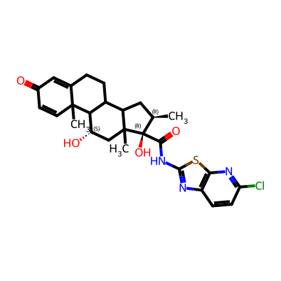 C[C@@H]1CC2C3CCC4=CC(=O)C=CC4(C)C3[C@@H](O)CC2(C)[C@@]1(O)C(=O)Nc1nc2ccc(Cl)nc2s1